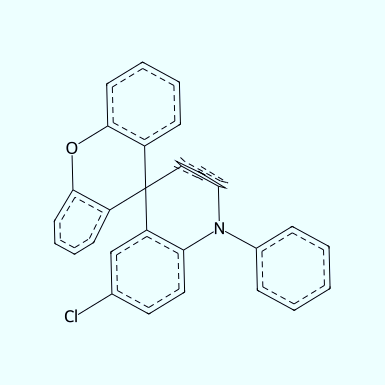 Clc1ccc2c(c1)C1(c3ccccc3Oc3ccccc31)c1ccccc1N2c1ccccc1